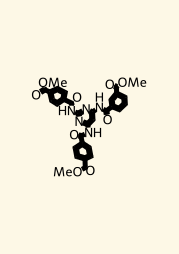 COC(=O)c1ccc(C(=O)Nc2cc(NC(=O)c3cccc(C(=O)OC)c3)nc(NC(=O)c3ccc(C(=O)OC)cc3)n2)cc1